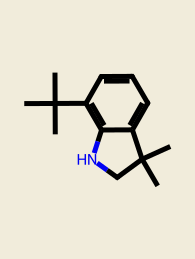 CC(C)(C)c1cccc2c1NCC2(C)C